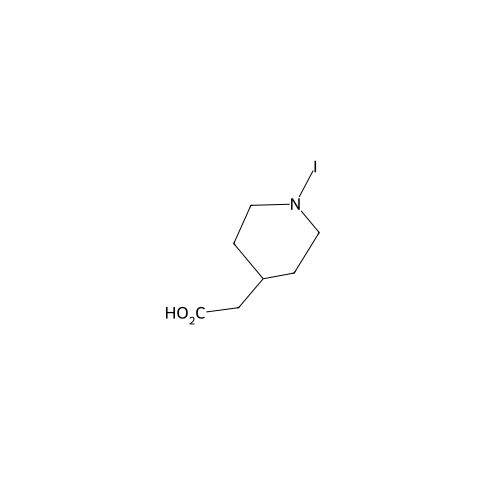 O=C(O)CC1CCN(I)CC1